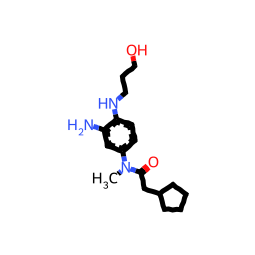 CN(C(=O)CC1CCCC1)c1ccc(NCCCO)c(N)c1